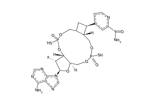 NC(=O)c1cc([C@@H]2CC3COP(=O)(S)O[C@H]4[C@@H](F)[C@H](n5cnc6c(N)ncnc65)O[C@@H]4COP(=O)(S)OC[C@H]32)ccn1